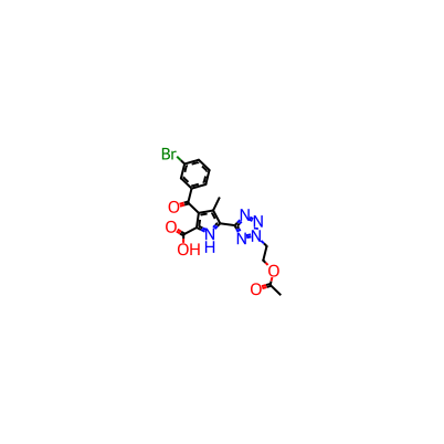 CC(=O)OCCn1nnc(-c2[nH]c(C(=O)O)c(C(=O)c3cccc(Br)c3)c2C)n1